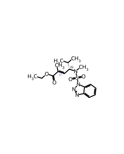 CCOC(=O)/C(C)=C/[C@H](C(C)C)N(C)S(=O)(=O)n1nnc2ccccc21